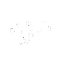 CC(N=C(NC#N)Nc1ccncc1)C(C)(C)C.C[C@@H](COc1ccccc1)N(CCCl)Cc1ccccc1.C[C@H](CSC(=O)C(C)(C)C)C(=O)N(CC(=O)O)C1CCCC1